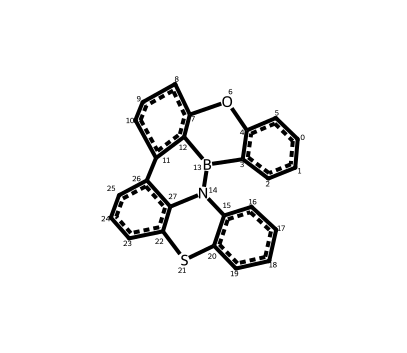 c1ccc2c(c1)Oc1cccc3c1B2N1c2ccccc2Sc2cccc-3c21